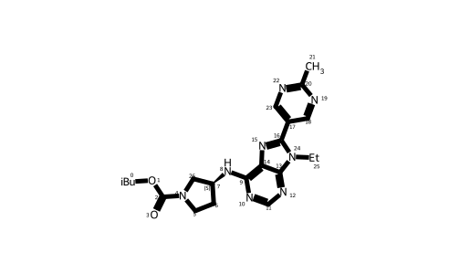 CCC(C)OC(=O)N1CC[C@H](Nc2ncnc3c2nc(-c2cnc(C)nc2)n3CC)C1